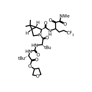 CNC(=O)C(=O)C(CCC(F)(F)F)NC(=O)[C@@H]1[C@@H]2[C@H](CN1C(=O)[C@@H](NC(=O)N[C@H](C(=O)OC1CCOC1)C(C)(C)C)C(C)(C)C)C2(C)C